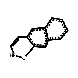 C1=Cc2cc3ccccc3cc2OP1